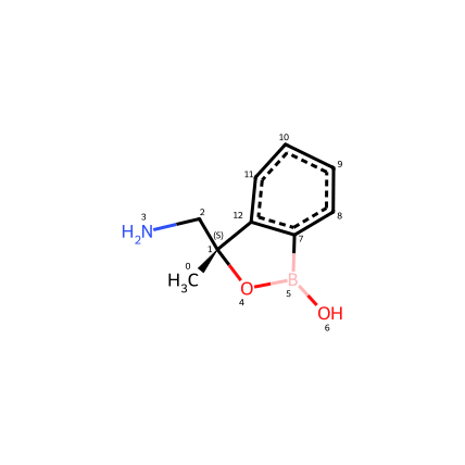 C[C@]1(CN)OB(O)c2ccccc21